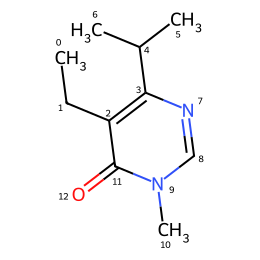 CCc1c(C(C)C)ncn(C)c1=O